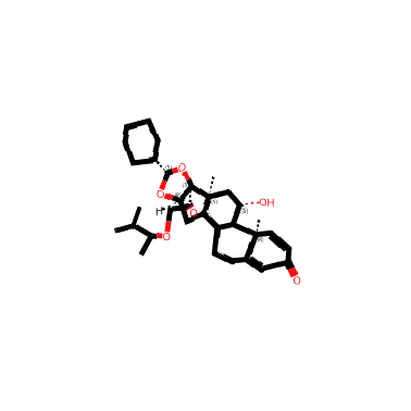 CC(C)C(C)OCC(=O)[C@@]12O[C@@H](C3CCCCC3)O[C@@H]1CC1C3CCC4=CC(=O)C=C[C@]4(C)C3[C@@H](O)C[C@@]12C